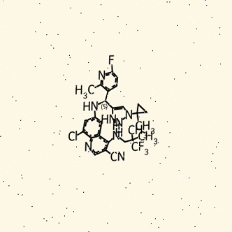 Cc1nc(F)ccc1[C@H](Nc1cc(Cl)c2ncc(C#N)c(NCC(C)(C)C(F)(F)F)c2c1)C1=CN(C2(C)CC2)NN1